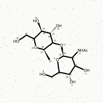 CC(=O)NC1C(O)[C@H](O)C(CO)O[C@H]1OC1[C@@H](O)[C@H](O)C(CO)O[C@@H]1C